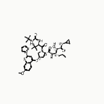 CCC[C@H](NC(=O)[C@@H]1C[C@@H](Oc2cc(-n3cccn3)nc3cc(OC)ccc23)CN1C(=O)C(NC(=O)NC(C)(C)C)C(C)(C)C)[C@H](O)C(=O)NC1CC1